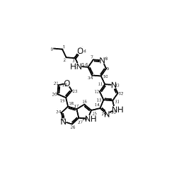 CCCC(=O)Nc1cncc(-c2cc3c(-c4cc5c(-c6ccoc6)cncc5[nH]4)n[nH]c3cn2)c1